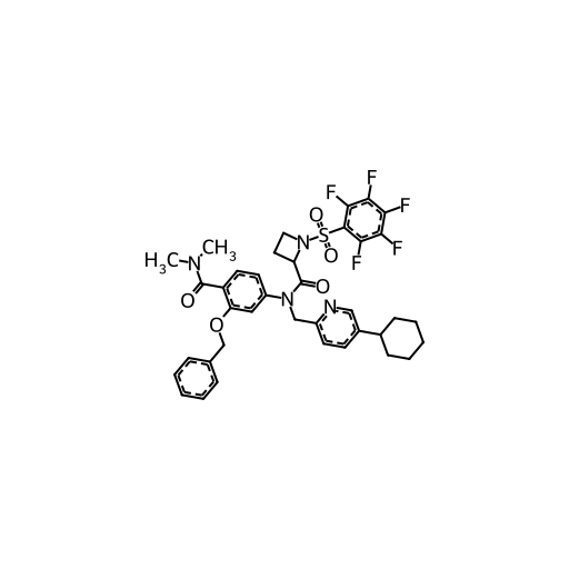 CN(C)C(=O)c1ccc(N(Cc2ccc(C3CCCCC3)cn2)C(=O)C2CCN2S(=O)(=O)c2c(F)c(F)c(F)c(F)c2F)cc1OCc1ccccc1